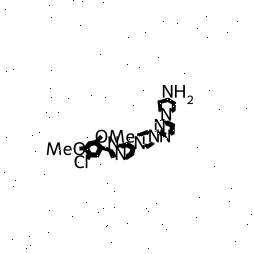 COc1cc(OC)c(-c2cn3ccc(N4CCN(c5nccc(N6CCC(N)CC6)n5)CC4)cc3n2)cc1Cl